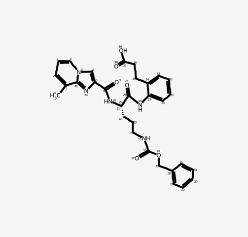 Cc1cccn2cc(C(=O)N[C@@H](CCCNC(=O)OCc3ccccc3)C(=O)Nc3ccccc3CCC(=O)O)nc12